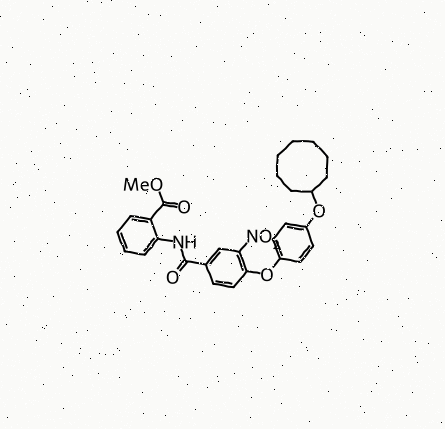 COC(=O)c1ccccc1NC(=O)c1ccc(Oc2ccc(OC3CCCCCCC3)cc2)c([N+](=O)[O-])c1